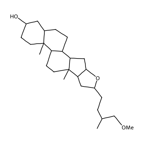 COCC(C)CCC1CC2C(CC3C4CCC5CC(O)CCC5(C)C4CCC23C)O1